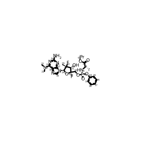 CC(C)OC(=O)[C@H](C)N[P@](=O)(OC[C@@]1(F)O[C@@H](n2cnc3c(N(C)C)nc(N)nc32)[C@](C)(F)[C@@H]1O)Oc1ccccc1